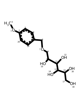 COc1ccc(COCC(O)C(O)C(O)C(O)CO)cc1